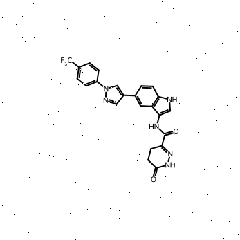 O=C1CCC(C(=O)Nc2c[nH]c3ccc(-c4cnn(-c5ccc(C(F)(F)F)cc5)c4)cc23)=NN1